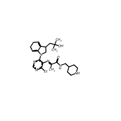 CCc1ncnc(N2CC(CC(C)(C)O)C3=CCCC=C32)c1/N=C(\C)C(=O)NCC1CCNCC1